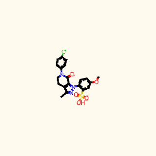 COc1ccc(-n2nc(C)c3c2C(=O)N(c2ccc(Cl)cc2)CC3)c(S(=O)(=O)O)c1